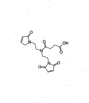 O=C(O)CCC(=O)N(CCN1CC=CC1=O)CCN1C(=O)C=CC1=O